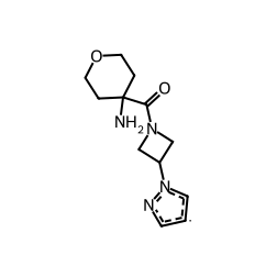 NC1(C(=O)N2CC(n3c[c]cn3)C2)CCOCC1